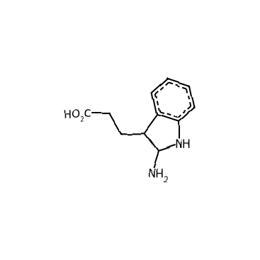 NC1Nc2ccccc2C1CCC(=O)O